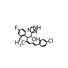 CC(=CC=Cc1ccc(Cl)cc1)C(c1ccc(F)cc1F)C(O)c1nc[nH]n1